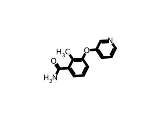 Cc1c(Oc2cccnc2)cccc1C(N)=O